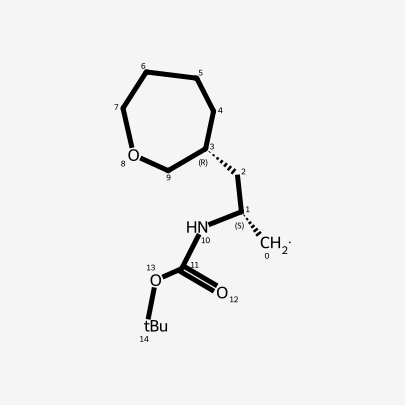 [CH2][C@@H](C[C@H]1CCCCOC1)NC(=O)OC(C)(C)C